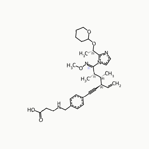 C=C[C@@H](C#Cc1ccc(CNCCC(=O)O)cc1)[C@@H](C)[C@H](C)/C(=N\OC)n1ccnc1[C@H](C)OC1CCCCO1